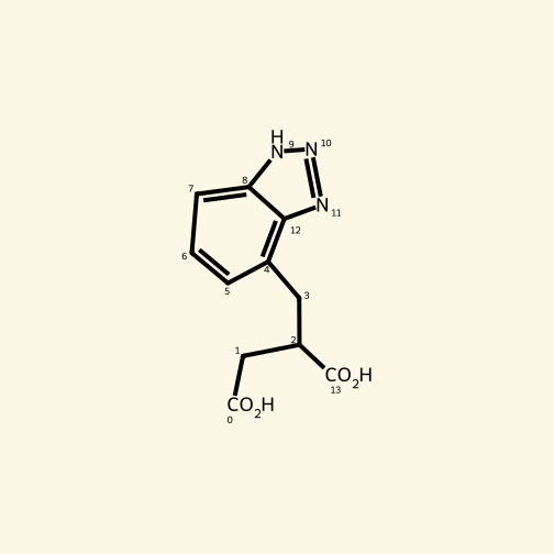 O=C(O)CC(Cc1cccc2[nH]nnc12)C(=O)O